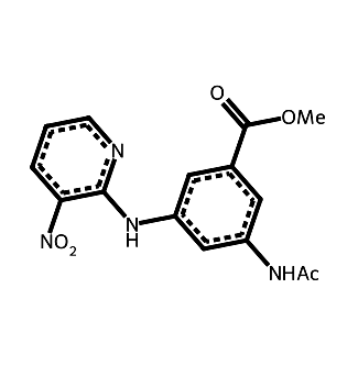 COC(=O)c1cc(NC(C)=O)cc(Nc2ncccc2[N+](=O)[O-])c1